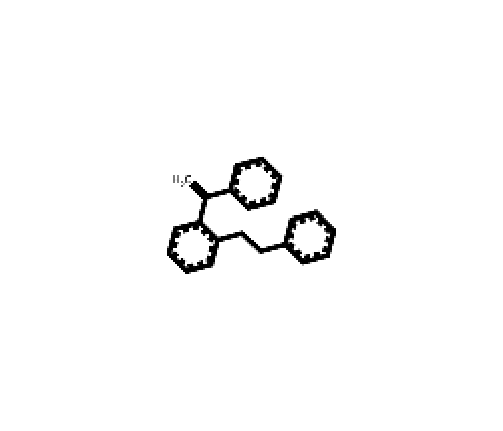 C=C(c1ccccc1)c1ccccc1CCc1ccccc1